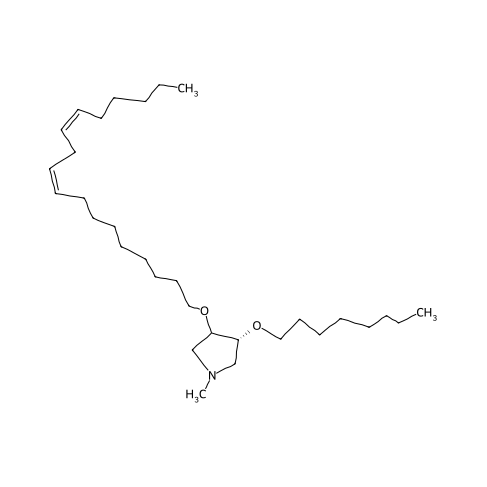 CCCCC/C=C\C/C=C\CCCCCCCCOC1CN(C)C[C@H]1OCCCCCCCC